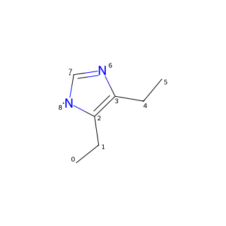 CCC1=C(CC)N=[C][N]1